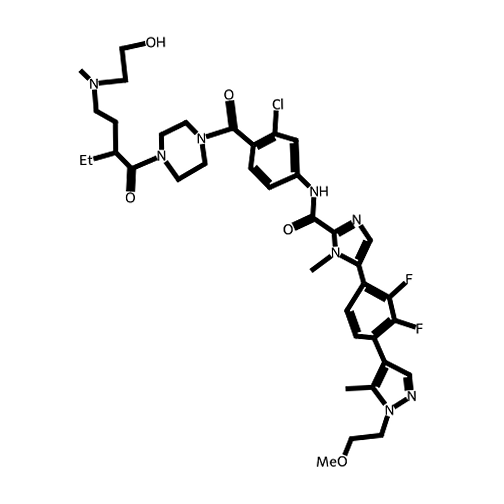 CCC(CCN(C)CCO)C(=O)N1CCN(C(=O)c2ccc(NC(=O)c3ncc(-c4ccc(-c5cnn(CCOC)c5C)c(F)c4F)n3C)cc2Cl)CC1